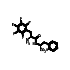 N[C@@H](Cc1c(F)c(F)c(F)c(F)c1F)C(=O)N[C@@H](Cc1ccccc1)C(=O)O